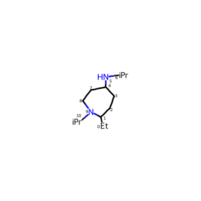 CCC1CCC(NC(C)C)CCN1C(C)C